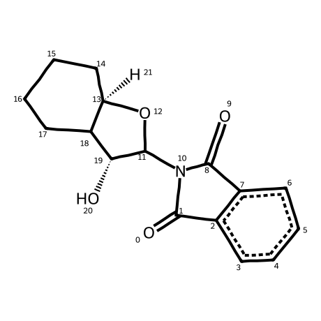 O=C1c2ccccc2C(=O)N1C1O[C@@H]2CCCCC2[C@H]1O